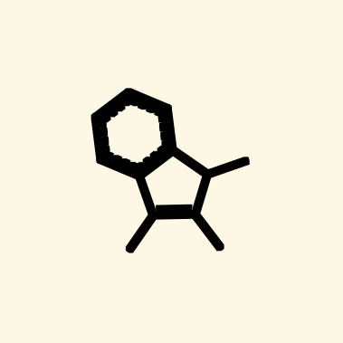 CC1=C(C)C(C)c2ccccc21